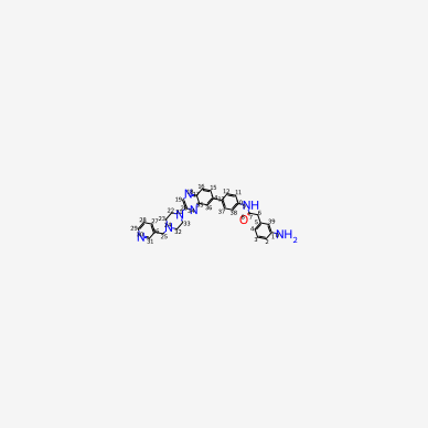 Nc1cccc(CC(=O)Nc2ccc(-c3ccc4ncc(N5CCN(Cc6cccnc6)CC5)nc4c3)cc2)c1